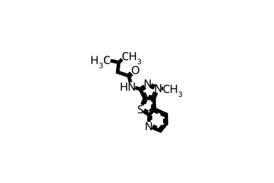 CC(C)CC(=O)Nc1nn(C)c2c1sc1ncccc12